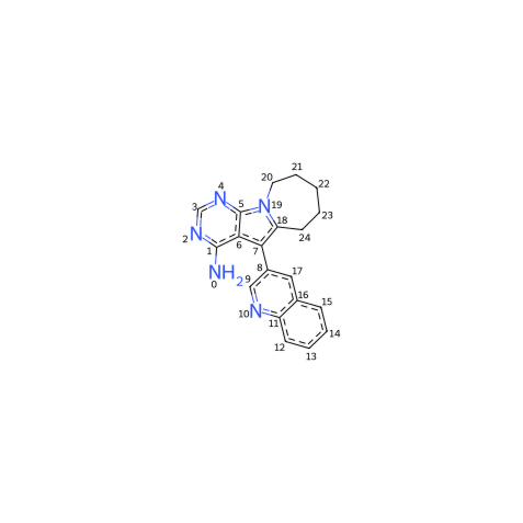 Nc1ncnc2c1c(-c1cnc3ccccc3c1)c1n2CCCCC1